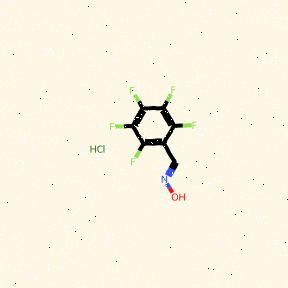 Cl.ON=Cc1c(F)c(F)c(F)c(F)c1F